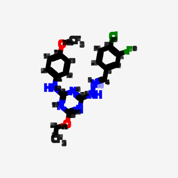 Fc1cc(/C=N/Nc2nc(Nc3ccc(OC(F)(F)F)cc3)nc(OCC(F)(F)F)n2)ccc1Cl